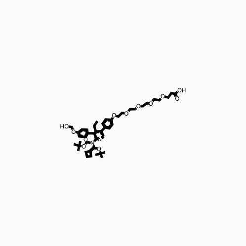 CCc1c(-c2ccc(OCCOCCOCCOCCOCCC(=O)O)cc2)cnc(N(C(=O)OC(C)(C)C)C(OC(C)(C)C)=C2CCC2)c1-c1ccc(OCO)cc1